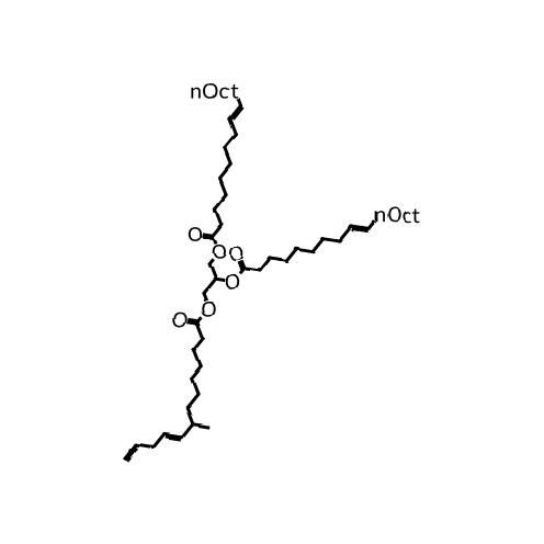 C=CC/C=C/C(C)CCCCCCC(=O)OCC(COC(=O)CCCCCCC/C=C/CCCCCCCC)OC(=O)CCCCCCC/C=C/CCCCCCCC